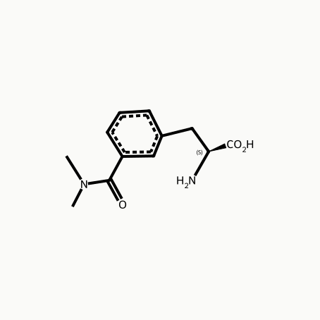 CN(C)C(=O)c1cccc(C[C@H](N)C(=O)O)c1